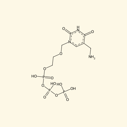 NCc1cn(COCCOP(=O)(O)OP(=O)(O)OP(=O)(O)O)c(=O)[nH]c1=O